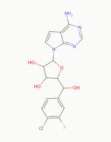 Nc1ncnc2c1ccn2C1OC(C(O)c2ccc(Cl)c(F)c2)C(O)C1O